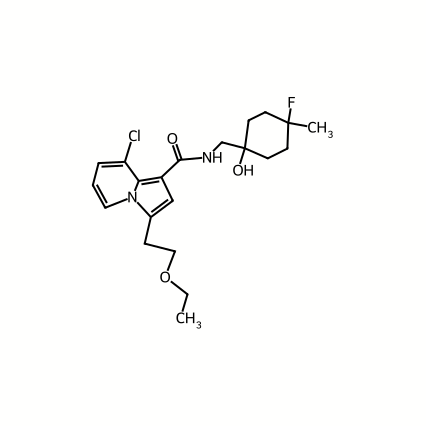 CCOCCc1cc(C(=O)NCC2(O)CCC(C)(F)CC2)c2c(Cl)cccn12